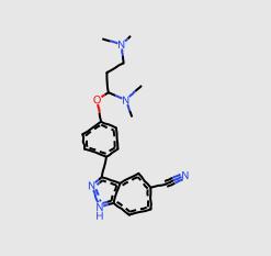 CN(C)CCC(Oc1ccc(-c2n[nH]c3ccc(C#N)cc23)cc1)N(C)C